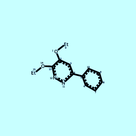 CCOc1cc(-c2ccccc2)nnc1OCC